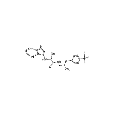 CC(CNC(=O)C(O)Nc1c[nH]c2cccnc12)Oc1ccc(C(F)(F)F)cc1